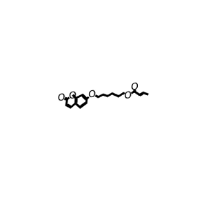 CC=CC(=O)OCCCCCCOc1ccc2ccc(=O)oc2c1